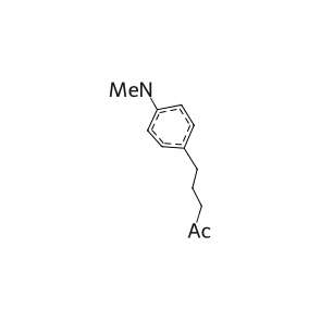 CNc1ccc(CCCC(C)=O)cc1